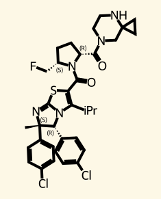 CC(C)C1=C(C(=O)N2[C@H](CF)CC[C@@H]2C(=O)N2CCNC3(CC3)C2)SC2=N[C@@](C)(c3ccc(Cl)cc3)[C@@H](c3ccc(Cl)cc3)N21